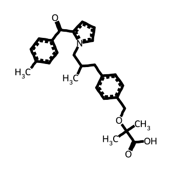 Cc1ccc(C(=O)c2cccn2CC(C)Cc2ccc(COC(C)(C)C(=O)O)cc2)cc1